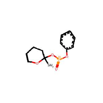 O=[PH](Oc1ccccc1)OC1([SiH3])CCCCO1